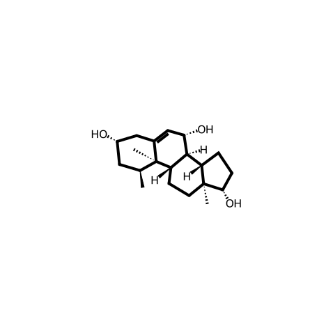 C[C@H]1C[C@H](O)CC2=C[C@H](O)[C@H]3[C@@H]4CC[C@H](O)[C@@]4(C)CC[C@@H]3[C@]21C